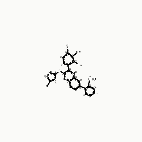 Cc1nnc(Sc2nc3ccc(-c4ccccc4C=O)cc3nc2-c2ccc(F)c(F)c2F)s1